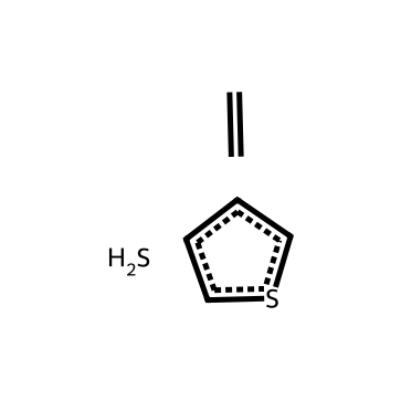 C=C.S.c1ccsc1